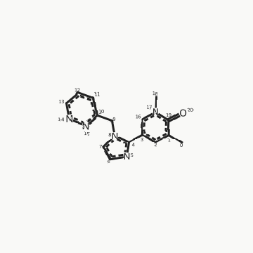 Cc1cc(-c2nccn2Cc2cccnn2)cn(C)c1=O